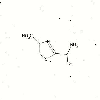 CC(C)C(N)c1nc(C(=O)O)cs1